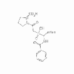 CCCCCCC(NC(=O)c1ccccc1)P(=O)(O)CC(=O)N1CCC[C@H]1C(=O)O